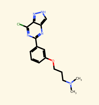 CN(C)CCCOc1cccc(-c2nc(Cl)c3n[nH]cc3n2)c1